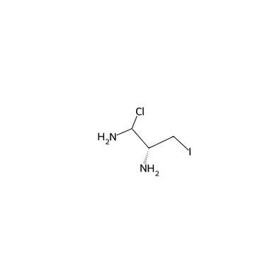 NC(Cl)[C@@H](N)CI